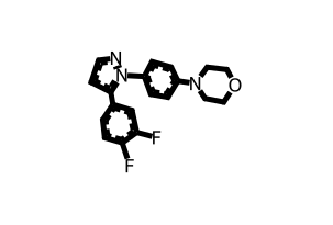 Fc1ccc(-c2ccnn2-c2ccc(N3CCOCC3)cc2)cc1F